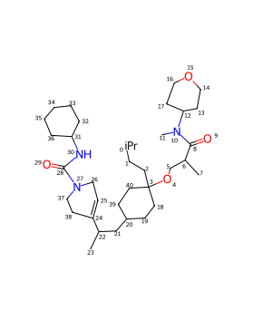 CC(C)CCC1(OCC(C)C(=O)N(C)C2CCOCC2)CCC(CC(C)C2=CCN(C(=O)NC3CCCCC3)CC2)CC1